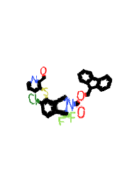 O=Cc1ncccc1Sc1c(Cl)ccc2c1CN(C(=O)OCC1c3ccccc3-c3ccccc31)C2(F)F